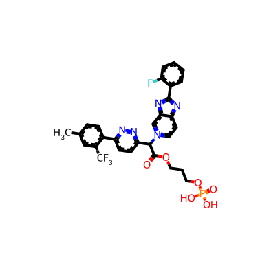 Cc1ccc(-c2ccc(C(C(=O)OCCCOP(=O)(O)O)n3ccc4nc(-c5ccccc5F)nc-4c3)nn2)c(C(F)(F)F)c1